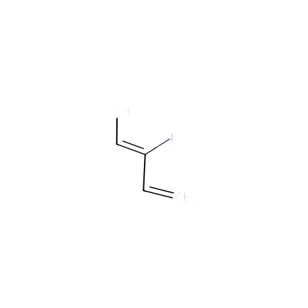 C=C/C(I)=C/C